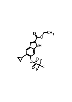 CCOC(=O)c1cc2cc(C3CC3)c(OS(=O)(=O)C(F)(F)F)cc2[nH]1